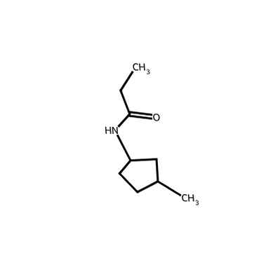 CCC(=O)NC1CCC(C)C1